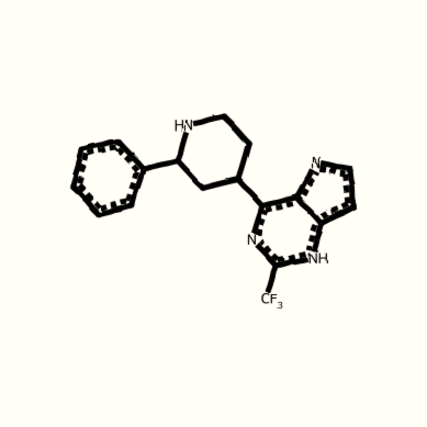 FC(F)(F)c1nc(C2CCNC(c3ccccc3)C2)c2nccc-2[nH]1